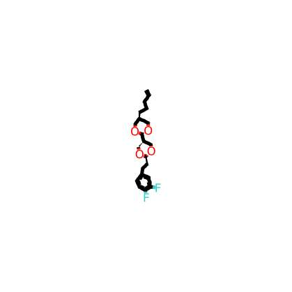 C=CCCC[C@H]1CO[C@H]([C@H]2CO[C@H](CCc3ccc(F)c(F)c3)OC2)OC1